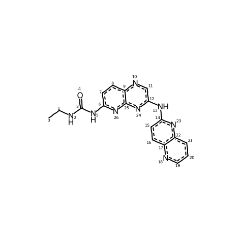 CCNC(=O)Nc1ccc2ncc(Nc3ccc4ncccc4n3)nc2n1